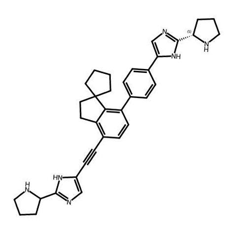 C(#Cc1ccc(-c2ccc(-c3cnc([C@@H]4CCCN4)[nH]3)cc2)c2c1CCC21CCCC1)c1cnc(C2CCCN2)[nH]1